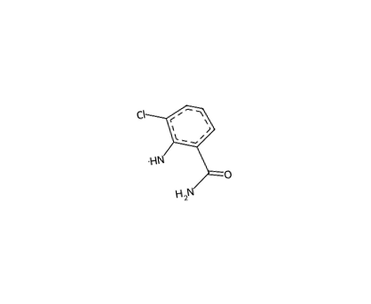 [NH]c1c(Cl)cccc1C(N)=O